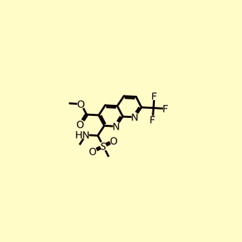 CNC(c1nc2nc(C(F)(F)F)ccc2cc1C(=O)OC)S(C)(=O)=O